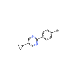 CC(C)c1ccc(-c2ncc(C3CC3)cn2)cc1